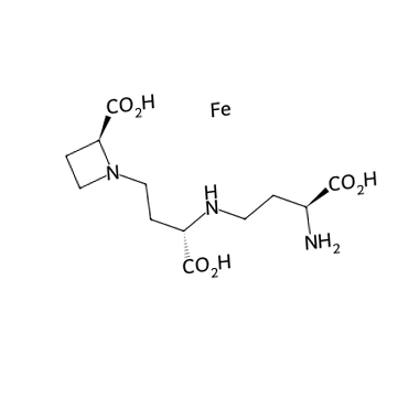 N[C@@H](CCN[C@@H](CCN1CC[C@H]1C(=O)O)C(=O)O)C(=O)O.[Fe]